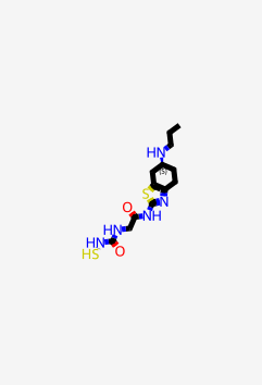 CCCN[C@H]1CCc2nc(NC(=O)CNC(=O)NS)sc2C1